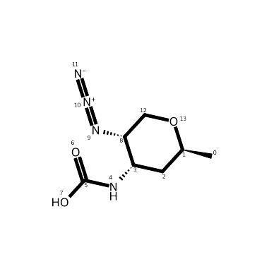 C[C@H]1C[C@H](NC(=O)O)[C@H](N=[N+]=[N-])CO1